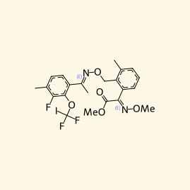 CO/N=C(/C(=O)OC)c1cccc(C)c1CO/N=C(\C)c1ccc(C)c(F)c1OC(F)(F)I